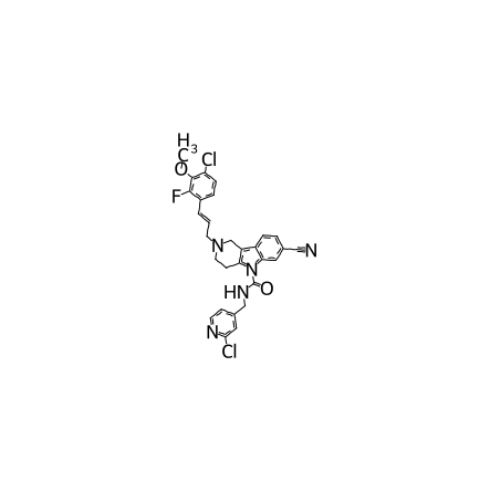 COc1c(Cl)ccc(C=CCN2CCc3c(c4ccc(C#N)cc4n3C(=O)NCc3ccnc(Cl)c3)C2)c1F